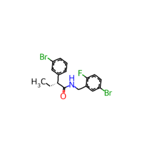 CC[C@@H](C(=O)NCc1cc(Br)ccc1F)c1cccc(Br)c1